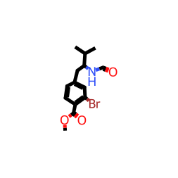 COC(=O)c1ccc(CC(NC=O)C(C)C)cc1Br